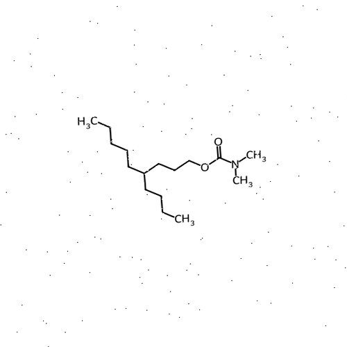 CCCCCC(CCCC)CCCOC(=O)N(C)C